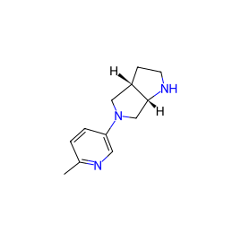 Cc1ccc(N2C[C@@H]3CCN[C@@H]3C2)cn1